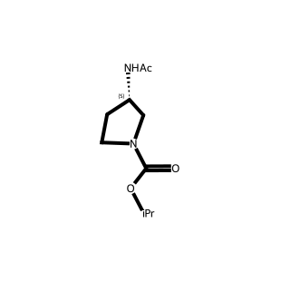 CC(=O)N[C@H]1CCN(C(=O)OC(C)C)C1